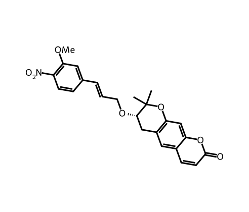 COc1cc(/C=C/CO[C@H]2Cc3cc4ccc(=O)oc4cc3OC2(C)C)ccc1[N+](=O)[O-]